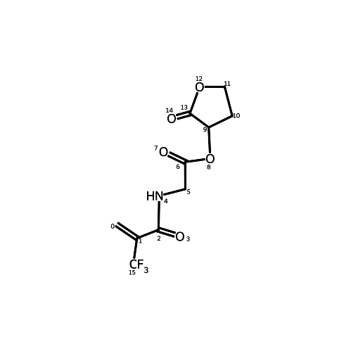 C=C(C(=O)NCC(=O)OC1CCOC1=O)C(F)(F)F